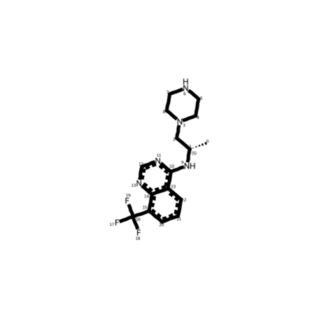 C[C@@H](CN1CCNCC1)Nc1ncnc2c(C(F)(F)F)cccc12